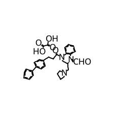 O=C(O)C(=O)O.O=CN1c2ccccc2N(C(=O)CCc2ccc(-c3ccccc3)cc2)CC1CN1CCCC1